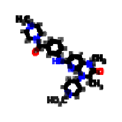 C[C@@H]1C(=O)N(C)c2ccc(Nc3cccc(C(=O)N4CCN(C)CC4)c3)nc2N1C1CCN(C(=O)O)CC1